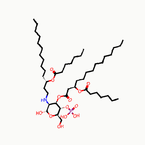 CCCCCCCCCCC[C@@H](CCN[C@H]1[C@@H](OC(=O)C[C@@H](CCCCCCCCCCC)OC(=O)CCCCCC)[C@H](OP(=O)(O)O)[C@@H](CO)O[C@@H]1O)OC(=O)CCCCCC